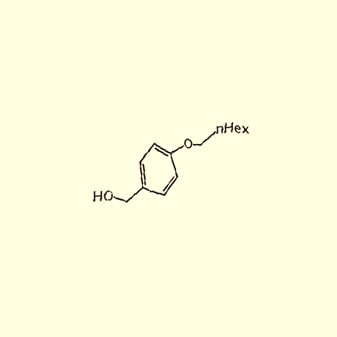 CCCCCCCOc1ccc(CO)cc1